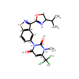 CC(C)C1COC(c2nsc3ccc(-n4c(=O)cc(C(F)(F)F)n(C)c4=O)cc23)=N1